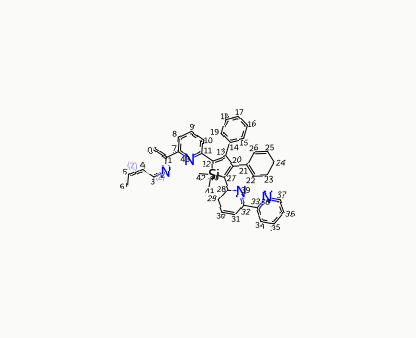 C=C(/N=C\C=C/C)c1cccc(C2=C(c3ccccc3)C(C3=CCCC=C3)=C(C3CC=CC(c4ccccn4)=N3)[Si]2(C)C)n1